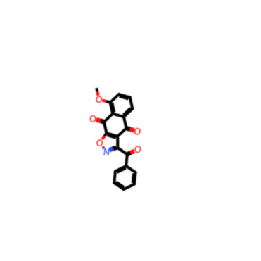 COc1cccc2c1C(=O)c1onc(C(=O)c3ccccc3)c1C2=O